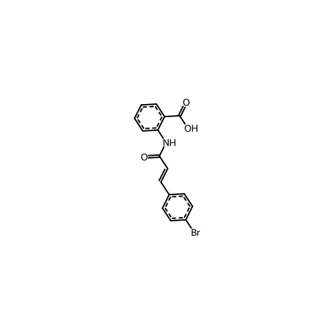 O=C(/C=C/c1ccc(Br)cc1)Nc1ccccc1C(=O)O